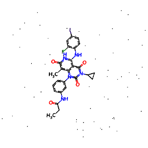 CCC(=O)Nc1cccc(-n2c(=O)n(C3CC3)c(=O)c3c(Nc4ccc(I)cc4F)[nH]c(=O)c(C)c32)c1